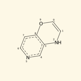 [C]1=CNc2cnccc2O1